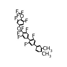 Cc1ccc(-c2cc(F)c(-c3cc(F)c(C(F)(F)Oc4cc(F)c(OC(F)(F)F)c(F)c4)c(F)c3)c(F)c2)cc1C